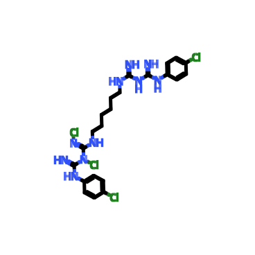 N=C(NCCCCCCNC(=NCl)N(Cl)C(=N)Nc1ccc(Cl)cc1)NC(=N)Nc1ccc(Cl)cc1